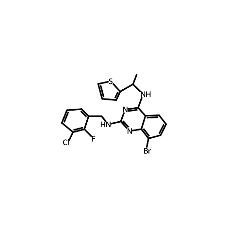 CC(Nc1nc(NCc2cccc(Cl)c2F)nc2c(Br)cccc12)c1cccs1